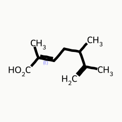 C=C(C)C(C)C/C=C(\C)C(=O)O